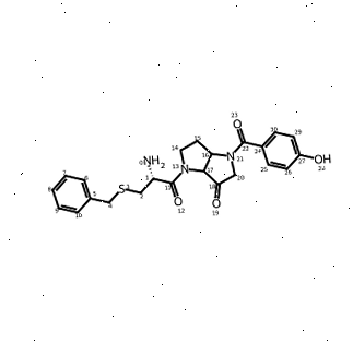 N[C@@H](CSCc1ccccc1)C(=O)N1CCC2C1C(=O)CN2C(=O)c1ccc(O)cc1